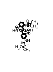 CC(C)NC(=S)Nc1ccc(C=Cc2c(NC(=O)C(C)C)cccc2S(=O)(=O)O)c(S(=O)(=O)O)c1